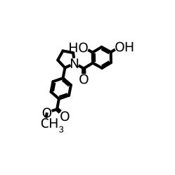 COC(=O)c1ccc(C2CCCN2C(=O)c2ccc(O)cc2O)cc1